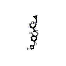 C\N=C/C(=C\N=C\C1CC1)C(=O)Nc1ccc(OC2CNC2)cc1F